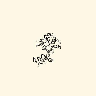 CCOC(=O)c1cc(O)c2c(OC)c3cc(OC)ccc3c(F)c2c1